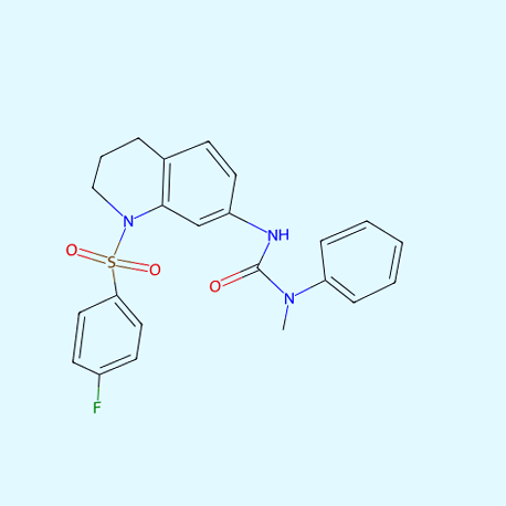 CN(C(=O)Nc1ccc2c(c1)N(S(=O)(=O)c1ccc(F)cc1)CCC2)c1ccccc1